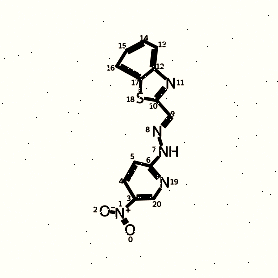 O=[N+]([O-])c1ccc(N/N=C/c2nc3ccccc3s2)nc1